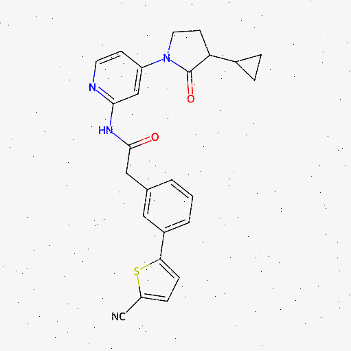 N#Cc1ccc(-c2cccc(CC(=O)Nc3cc(N4CCC(C5CC5)C4=O)ccn3)c2)s1